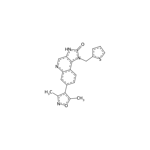 Cc1noc(C)c1-c1ccc2c(c1)ncc1[nH]c(=O)n(Cc3cccs3)c12